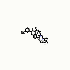 C=C/C(=C\C=C(/N)OC(C)(C)C(=O)NC(C)C(Cc1ccc(OCC(=O)O)cc1)c1cccc(C#N)c1)C(F)(F)F